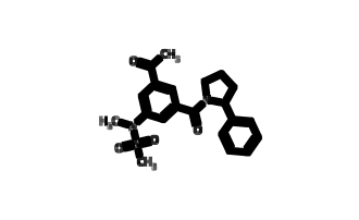 CC(=O)c1cc(C(=O)N2CCCC2c2ccccc2)cc(N(C)S(C)(=O)=O)c1